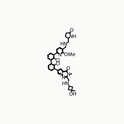 COc1nc(-c2cccc(-c3cccc(-c4cc5c(=O)n(C)c(CNC6CC(C)(O)C6)nn5c4)c3Cl)c2Cl)ccc1CNCC1CCC(=O)N1